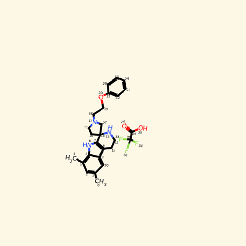 Cc1cc(C)c2[nH]c3c(c2c1)CCNC31CCN(CCOc2ccccc2)C1.O=C(O)C(F)(F)F